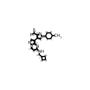 CC1CCC(n2cc(-c3cnn4ccc(NCC5CCC5)nc34)c(C(F)F)n2)CC1